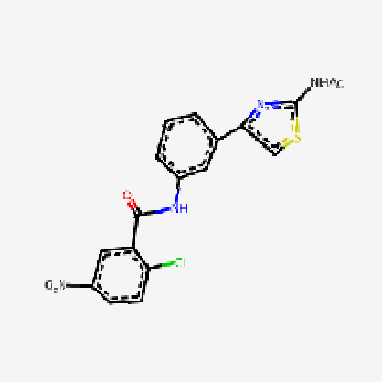 CC(=O)Nc1nc(-c2cccc(NC(=O)c3cc([N+](=O)[O-])ccc3Cl)c2)cs1